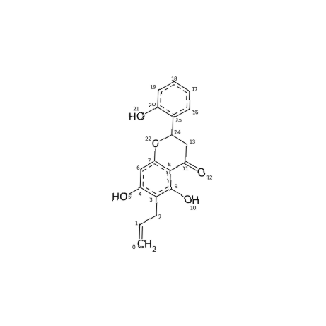 C=CCc1c(O)cc2c(c1O)C(=O)CC(c1ccccc1O)O2